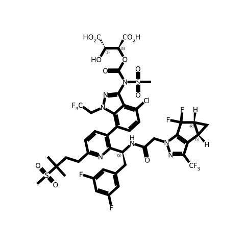 CC(C)(CCc1ccc(-c2ccc(Cl)c3c(N(C(=O)O[C@H](C(=O)O)[C@H](O)C(=O)O)S(C)(=O)=O)nn(CC(F)(F)F)c23)c([C@H](Cc2cc(F)cc(F)c2)NC(=O)Cn2nc(C(F)(F)F)c3c2C(F)(F)[C@@H]2C[C@H]32)n1)S(C)(=O)=O